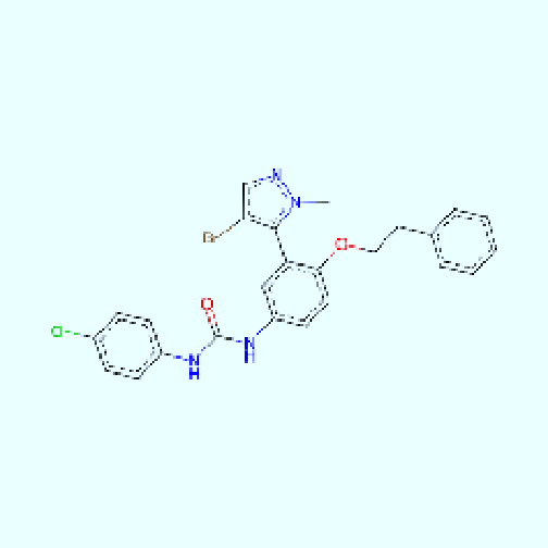 Cn1ncc(Br)c1-c1cc(NC(=O)Nc2ccc(Cl)cc2)ccc1OCCc1ccccc1